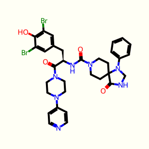 O=C(N[C@H](Cc1cc(Br)c(O)c(Br)c1)C(=O)N1CCN(c2ccncc2)CC1)N1CCC2(CC1)C(=O)NCN2c1ccccc1